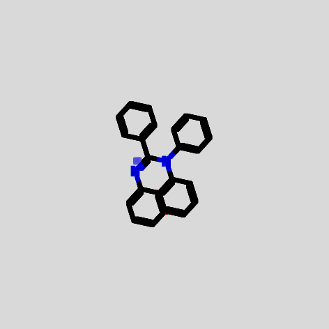 c1ccc(/N=C(/c2ccccc2)N(c2ccccc2)c2ccccc2)cc1